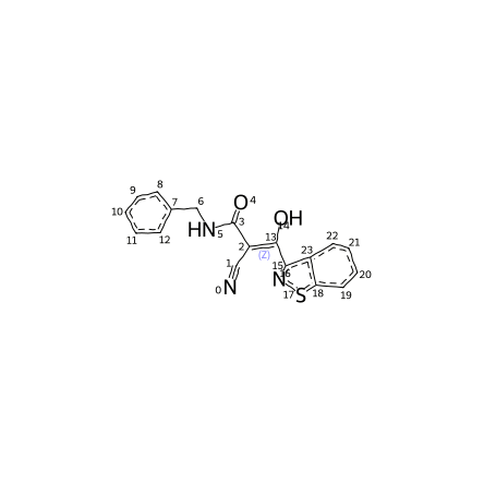 N#C/C(C(=O)NCc1ccccc1)=C(/O)c1nsc2ccccc12